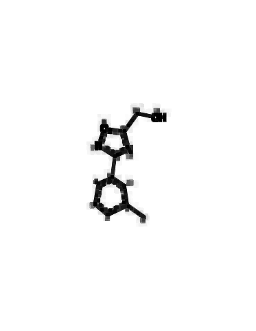 Cc1cccc(-c2noc(CO)n2)c1